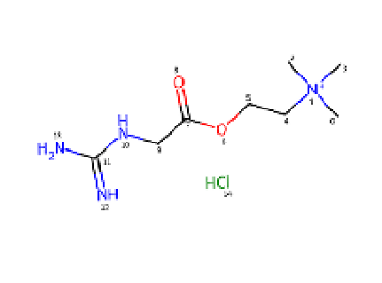 C[N+](C)(C)CCOC(=O)CNC(=N)N.Cl